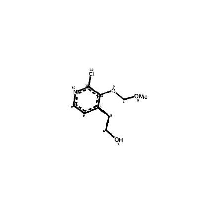 COCOc1c(CCO)ccnc1Cl